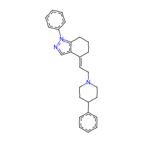 C(/CN1CCC(c2ccccc2)CC1)=C1/CCCc2c1cnn2-c1ccccc1